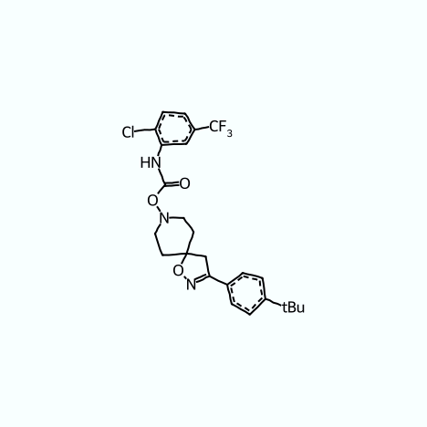 CC(C)(C)c1ccc(C2=NOC3(CCN(OC(=O)Nc4cc(C(F)(F)F)ccc4Cl)CC3)C2)cc1